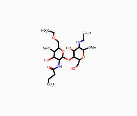 COC1OC(CO)C(OC2OC(COCC(=O)O)C(OC)C(O)C2NC(=O)CCC(=O)O)C(O)C1NCC(=O)O